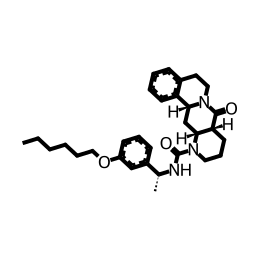 CCCCCCOc1cccc([C@@H](C)NC(=O)N2CCC[C@H]3C(=O)N4CCc5ccccc5[C@H]4C[C@H]32)c1